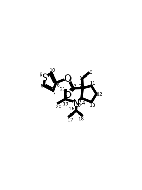 CCC1(C(=O)Oc2ccsc2)CCCC1N(C(C)C)C(C)C